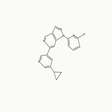 Fc1cccc(-n2ncc3cnc(-c4cncc(C5CC5)c4)cc32)n1